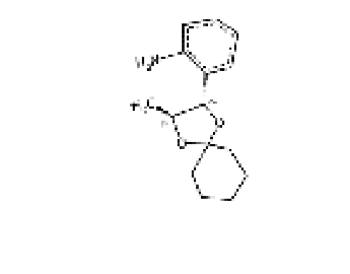 [CH2][C@@H]1OC2(CCCCC2)O[C@H]1c1ccccc1N